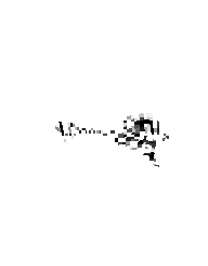 CCCCCCCCCCCC(O)C(N)(CCC)C(=O)O